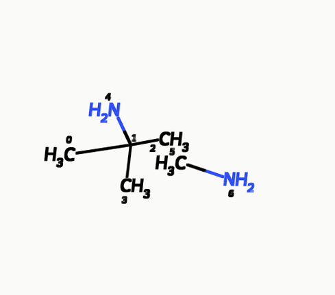 CC(C)(C)N.CN